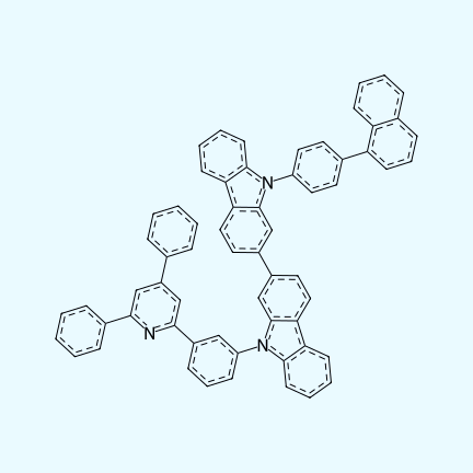 c1ccc(-c2cc(-c3ccccc3)nc(-c3cccc(-n4c5ccccc5c5ccc(-c6ccc7c8ccccc8n(-c8ccc(-c9cccc%10ccccc9%10)cc8)c7c6)cc54)c3)c2)cc1